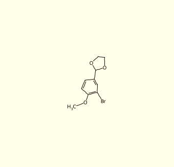 COc1ccc(C2OCCO2)cc1Br